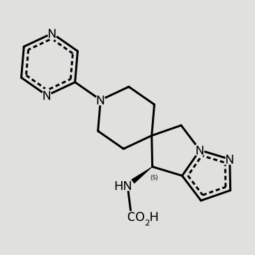 O=C(O)N[C@@H]1c2ccnn2CC12CCN(c1cnccn1)CC2